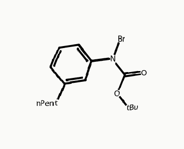 CCCCCc1cccc(N(Br)C(=O)OC(C)(C)C)c1